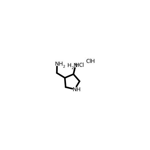 Cl.Cl.NCC1CNCC1N